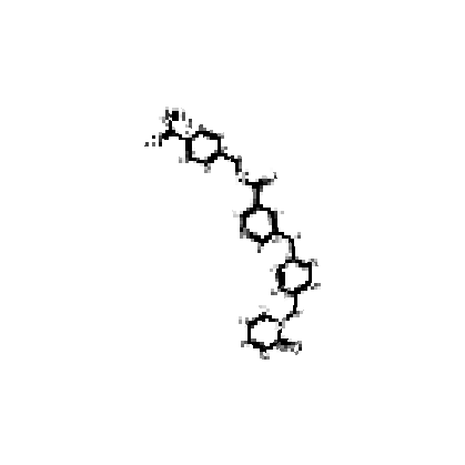 NC(=O)c1ccc(CNC(=O)c2cncc(Cc3ccc(Cn4ccccc4=O)cc3)c2)cc1